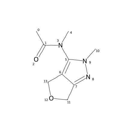 CC(=O)N(C)c1c2c(nn1C)COC2